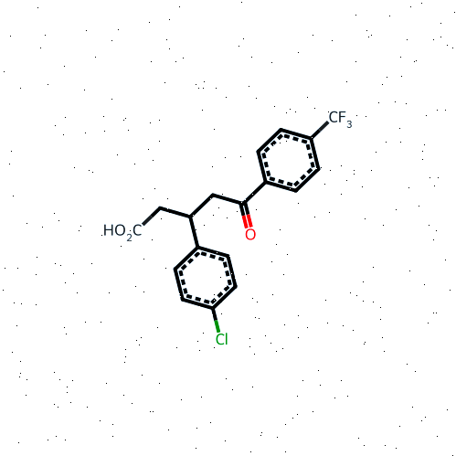 O=C(O)CC(CC(=O)c1ccc(C(F)(F)F)cc1)c1ccc(Cl)cc1